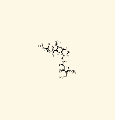 CCC1=C(C)CN(C(=O)NCC2CCOc3cc(OC)c(S(=O)(=O)NC(=O)NC)cc32)C1=O